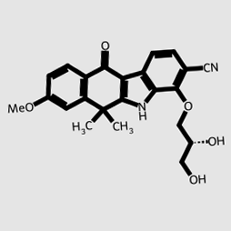 COc1ccc2c(c1)C(C)(C)c1[nH]c3c(OC[C@H](O)CO)c(C#N)ccc3c1C2=O